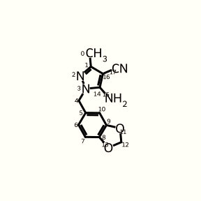 Cc1nn(Cc2ccc3c(c2)OCO3)c(N)c1C#N